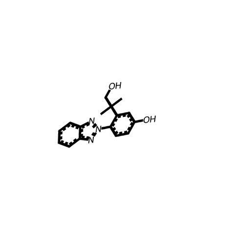 CC(C)(CO)c1cc(O)ccc1-n1nc2ccccc2n1